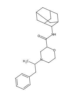 CC(Cc1ccccc1)N1CCOC(C(=O)NC2C3CC4CC(C3)CC2C4)C1